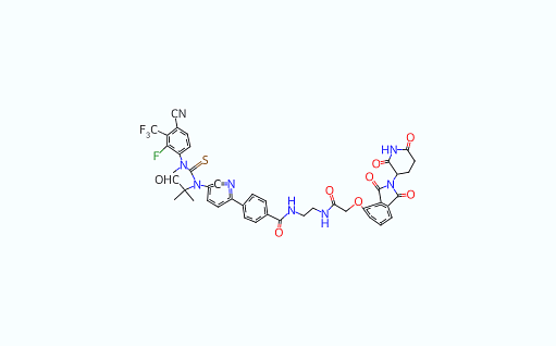 CN(C(=S)N(c1ccc(-c2ccc(C(=O)NCCNC(=O)COc3cccc4c3C(=O)N(C3CCC(=O)NC3=O)C4=O)cc2)nc1)C(C)(C)C=O)c1ccc(C#N)c(C(F)(F)F)c1F